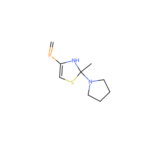 C=PC1=CSC(C)(N2CCCC2)N1